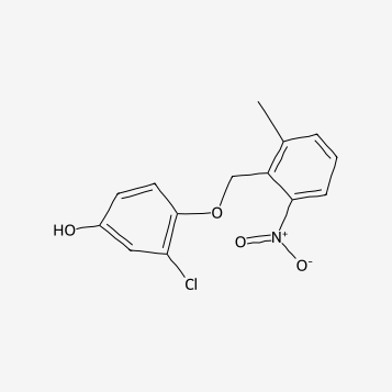 Cc1cccc([N+](=O)[O-])c1COc1ccc(O)cc1Cl